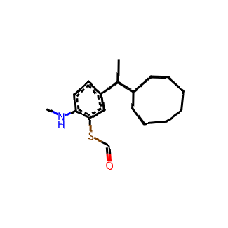 CNc1ccc(C(C)C2CCCCCCC2)cc1SC=O